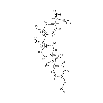 CCCc1ccc(S(=O)(=O)N2CCN(C(=O)c3ccc(C(=N)N)cc3C)CC2)cc1